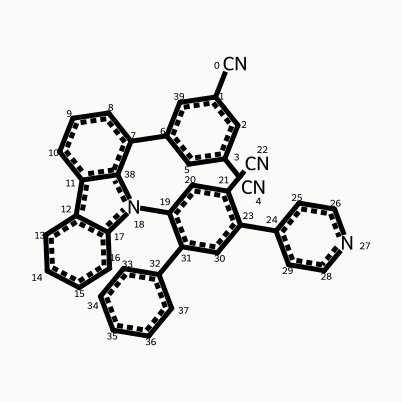 N#Cc1cc(C#N)cc(-c2cccc3c4ccccc4n(-c4cc(C#N)c(-c5ccncc5)cc4-c4ccccc4)c23)c1